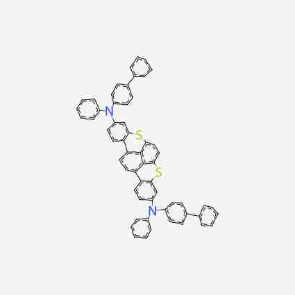 c1ccc(-c2ccc(N(c3ccccc3)c3ccc4c(c3)Sc3ccc5c6c(ccc-4c36)-c3ccc(N(c4ccccc4)c4ccc(-c6ccccc6)cc4)cc3S5)cc2)cc1